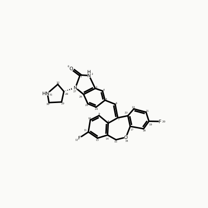 O=c1[nH]c2cc(/C=C3\c4ccc(F)cc4COc4cc(F)ccc43)ccc2n1[C@@H]1CCNC1